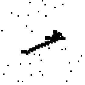 CCCCC(CC)CC(CCCCCCCCCCCCCCCCC(=O)O)C(C)(CC(CC)CCCC)C(=O)O